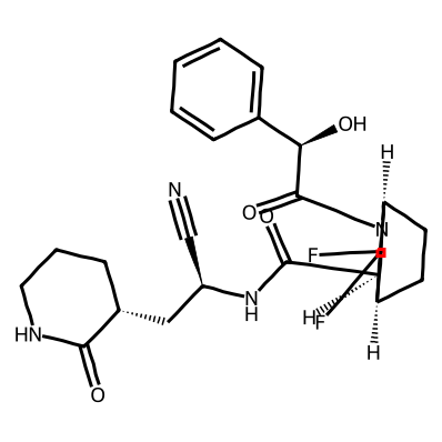 N#C[C@H](C[C@H]1CCCNC1=O)NC(=O)[C@@H]1[C@@H]2CC[C@@H](CC2(F)F)N1C(=O)[C@H](O)c1ccccc1